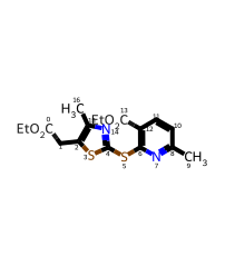 CCOC(=O)Cc1sc(Sc2nc(C)ccc2C(=O)OCC)nc1C